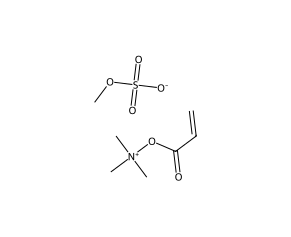 C=CC(=O)O[N+](C)(C)C.COS(=O)(=O)[O-]